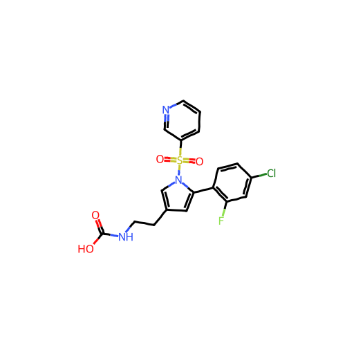 O=C(O)NCCc1cc(-c2ccc(Cl)cc2F)n(S(=O)(=O)c2cccnc2)c1